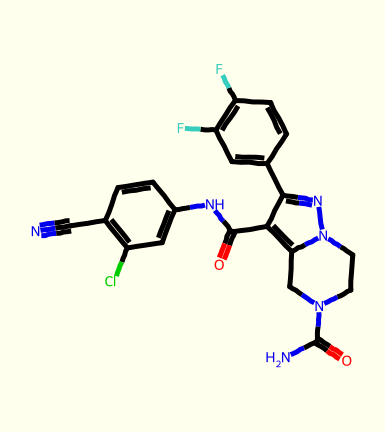 N#Cc1ccc(NC(=O)c2c(-c3ccc(F)c(F)c3)nn3c2CN(C(N)=O)CC3)cc1Cl